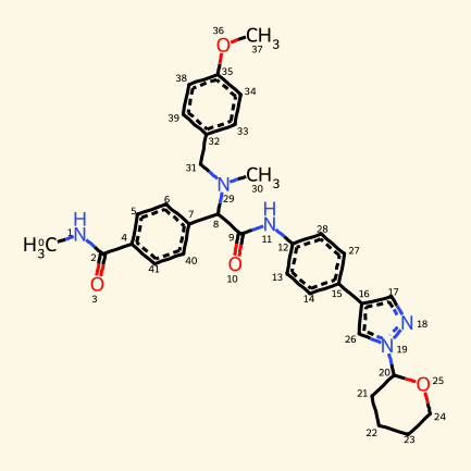 CNC(=O)c1ccc(C(C(=O)Nc2ccc(-c3cnn(C4CCCCO4)c3)cc2)N(C)Cc2ccc(OC)cc2)cc1